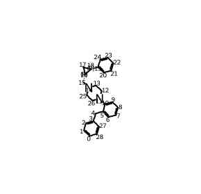 c1ccc(Cc2ccccc2N2CCN(C[C@@H]3C[C@H]3c3ccccc3)CC2)cc1